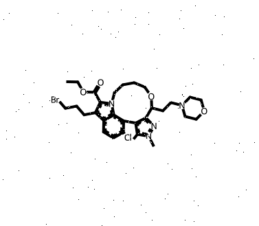 CCOC(=O)c1c(CCCBr)c2ccc(Cl)c3c2n1CCCCOC(CCN1CCOCC1)c1nn(C)c(C)c1-3